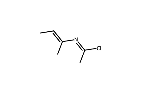 C/C=C(C)/N=C(\C)Cl